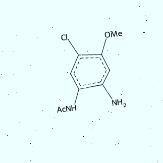 COc1cc(N)c(NC(C)=O)cc1Cl